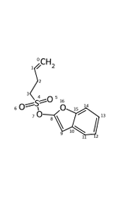 C=CCCS(=O)(=O)Oc1cc2ccccc2o1